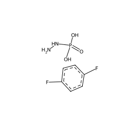 Fc1ccc(F)cc1.NNP(=O)(O)O